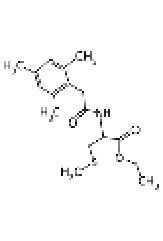 CCOC(=O)C(CSC)NC(=O)Cc1c(C)cc(C)cc1C